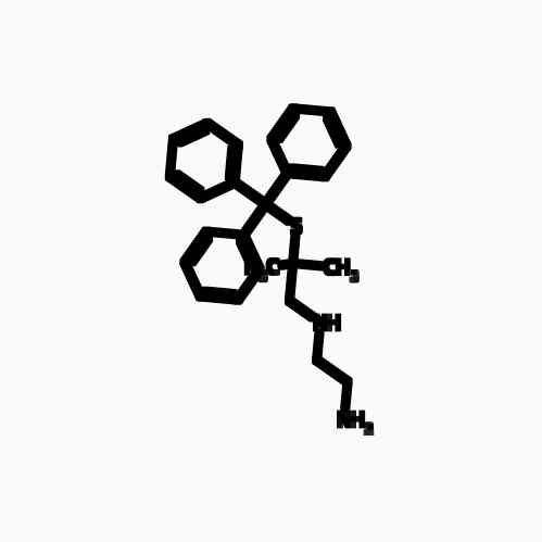 CC(C)(CNCCN)SC(c1ccccc1)(c1ccccc1)c1ccccc1